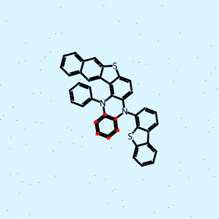 c1ccc(N(c2ccc3sc4cc5ccccc5cc4c3c2N(c2ccccc2)c2ccccc2)c2cccc3c2sc2ccccc23)cc1